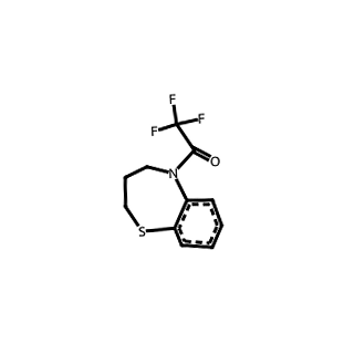 O=C(N1CCCSc2ccccc21)C(F)(F)F